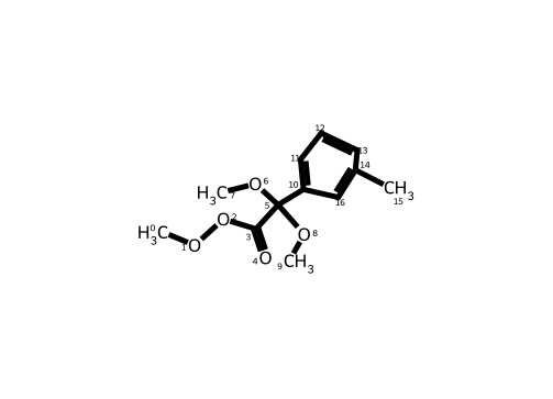 COOC(=O)C(OC)(OC)c1cccc(C)c1